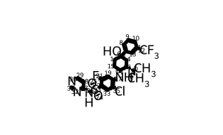 CN(C)[C@H]1C[C@](O)(c2cccc(C(F)(F)F)c2)CC[C@@H]1Nc1cc(F)c(S(=O)(=O)Nc2ccncn2)cc1Cl